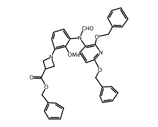 COc1c(N2CC(C(=O)OCc3ccccc3)C2)cccc1N(C=O)c1ccc(OCc2ccccc2)nc1OCc1ccccc1